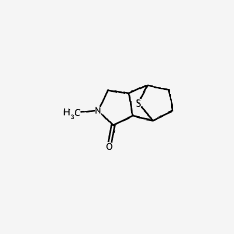 CN1CC2C3CCC(S3)C2C1=O